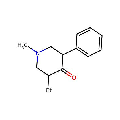 CCC1CN(C)CC(c2ccccc2)C1=O